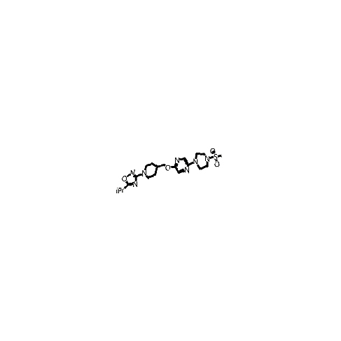 CC(C)c1nc(N2CCC(COc3cnc(N4CCN(S(C)(=O)=O)CC4)cn3)CC2)no1